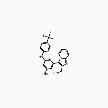 Nc1cc(Nc2ccc(C(F)(F)F)cc2)nc(-c2c(CO)nc3ccccn23)c1